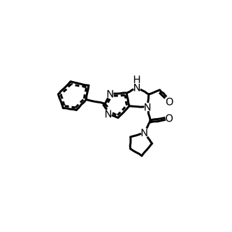 O=CC1Nc2nc(-c3ccccc3)ncc2N1C(=O)N1CCCC1